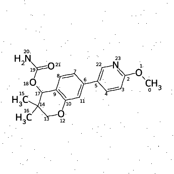 COc1ccc(-c2ccc3c(c2)OCC(C)(C)C3OC(N)=O)cn1